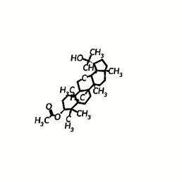 CC(=O)O[C@H]1CC[C@@]2(C)C(CC[C@]3(C)C2CCC2C4[C@H](C(C)(C)O)CC[C@]4(C)CC[C@]23C)C1(C)C